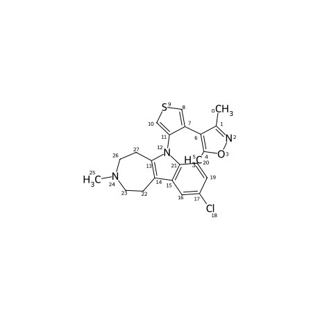 Cc1noc(C)c1-c1cscc1-n1c2c(c3cc(Cl)ccc31)CCN(C)CC2